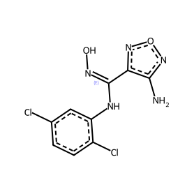 Nc1nonc1/C(=N\O)Nc1cc(Cl)ccc1Cl